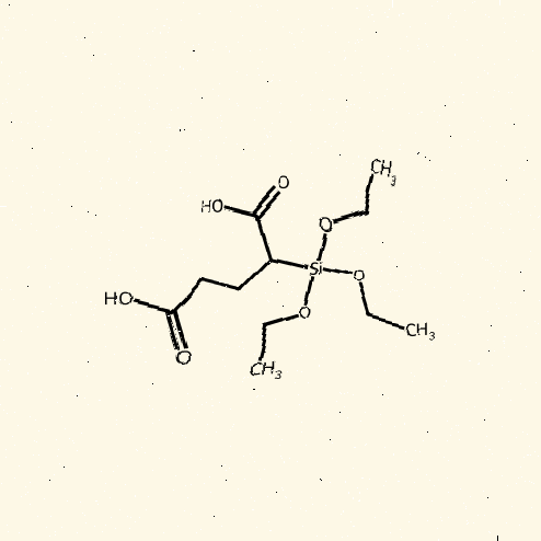 CCO[Si](OCC)(OCC)C(CCC(=O)O)C(=O)O